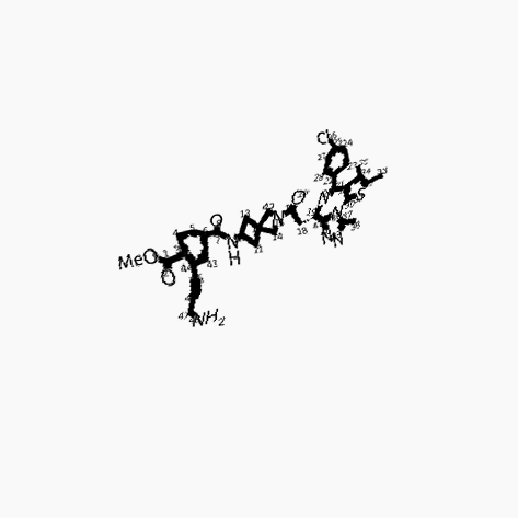 COC(=O)c1ccc(C(=O)NC2CC3(C2)CN(C(=O)C[C@@H]2N=C(c4ccc(Cl)cc4)c4c(sc(C)c4C)-n4c(C)nnc42)C3)cc1C#CCN